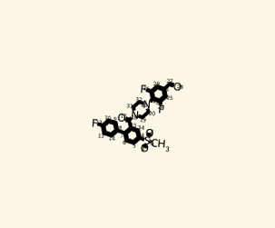 CS(=O)(=O)c1ccc(-c2ccc(F)cc2)c(C(=O)N2CCN(c3c(F)cc(C=O)cc3F)CC2)c1